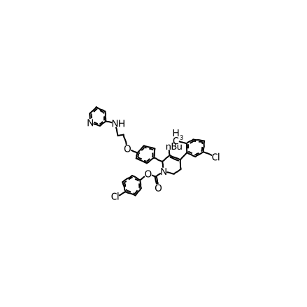 CCCCC1=C(c2cc(Cl)ccc2C)CCN(C(=O)Oc2ccc(Cl)cc2)C1c1ccc(OCCNc2cccnc2)cc1